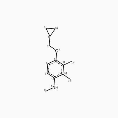 CNc1ccc(OCC2CC2)c(C)c1C